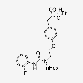 CCCCCCN(CCOc1ccc(CC(OCC)C(=O)O)cc1)C(=O)Nc1ccccc1F